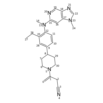 C=C(CC#N)N1CCC(c2ccc(N(C)c3cc4c(cn3)ncn4C)c(CC)c2)CC1